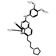 COc1ccc(NC2=NCC34CC(=O)C(C)C=NC3=C(CCCN3CCCC3)C=CC4=N2)cc1OC